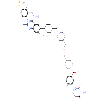 COc1cc2nc(C)nc(N[C@H](C)c3cccc4c3CCS4(=O)=O)c2cc1C1CCC(C(=O)N2CCC(CCOCC3CCN(C(=O)c4ccc(Cl)c(N5CCC(=O)NC5=O)c4)CC3)CC2)CC1